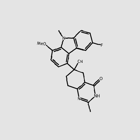 COc1ccc(C2(C#N)CCc3nc(C)[nH]c(=O)c3C2)c2c3cc(F)ccc3n(C)c12